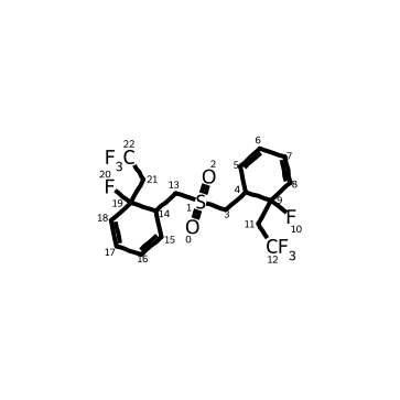 O=S(=O)(CC1C=CC=CC1(F)CC(F)(F)F)CC1C=CC=CC1(F)CC(F)(F)F